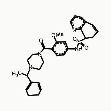 COc1cc(NS(=O)(=O)C2CC=Cc3cccnc32)ccc1C(=O)N1CCN(C(C)C2=CCCC=C2)CC1